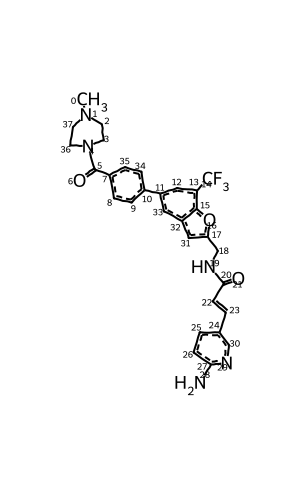 CN1CCN(C(=O)c2ccc(-c3cc(C(F)(F)F)c4oc(CNC(=O)C=Cc5ccc(N)nc5)cc4c3)cc2)CC1